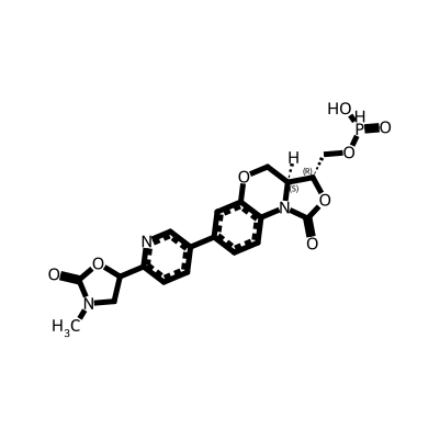 CN1CC(c2ccc(-c3ccc4c(c3)OC[C@H]3[C@H](CO[PH](=O)O)OC(=O)N43)cn2)OC1=O